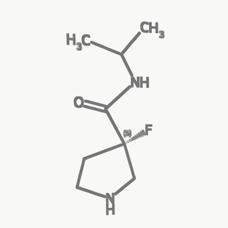 CC(C)NC(=O)[C@]1(F)CCNC1